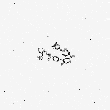 Cn1cc(-c2cc3c(cn2)[nH]c2ncc(F)c(-c4ccc(C(=O)NCCN5CCCC[C@@H]5CO)cc4)c23)cn1